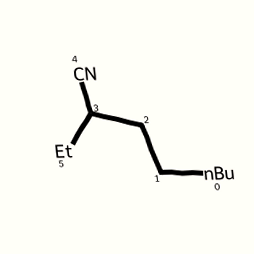 CCCCCCC(C#N)CC